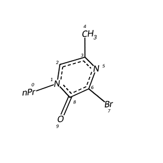 CCCn1cc(C)nc(Br)c1=O